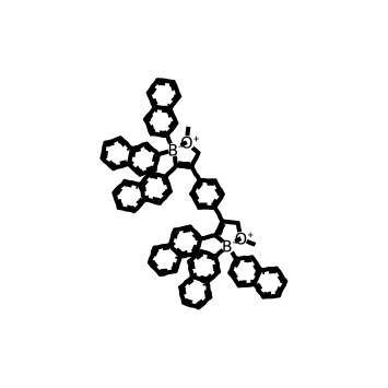 C[O+]1CC(c2ccc(C3=C(c4ccc5ccccc5c4)[B-](c4ccc5ccccc5c4)(c4ccc5ccccc5c4)[O+](C)C3)cc2)=C(c2ccc3ccccc3c2)[B-]1(c1ccc2ccccc2c1)c1ccc2ccccc2c1